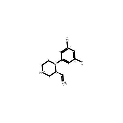 C=C[C@H]1CNCCN1c1cc(Cl)cc(Cl)c1